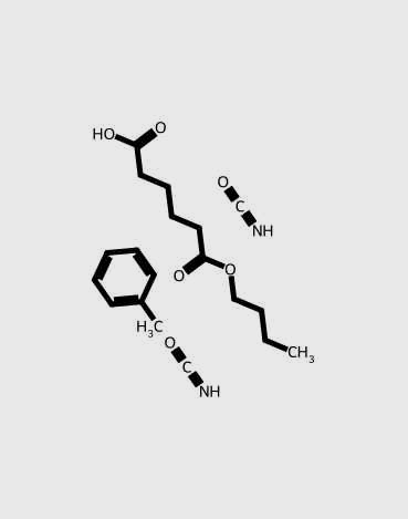 CCCCOC(=O)CCCCC(=O)O.Cc1ccccc1.N=C=O.N=C=O